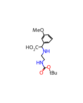 COc1cccc(C(NCCNC(=O)OC(C)(C)C)C(=O)O)c1